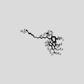 CCCCCCCCCCCCCC(Cc1c(N)cc(N)cc1C1(C(C)C)C(C(=O)O)=C(C)N(C(C)C)C(C)=C1C(=O)O)OC(C)C